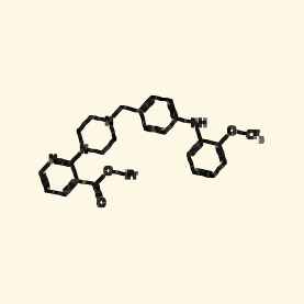 CC(C)OC(=O)c1cccnc1N1CCN(Cc2ccc(Nc3ccccc3OC(F)(F)F)cc2)CC1